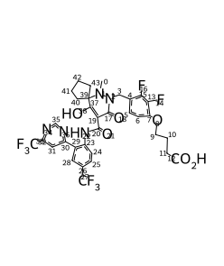 CN1N(Cc2ccc(OCCCC(=O)O)c(F)c2F)C(=O)C(C(=O)Nc2ccc(C(F)(F)F)cc2-c2cc(C(F)(F)F)ncn2)=C(O)C12CCCC2